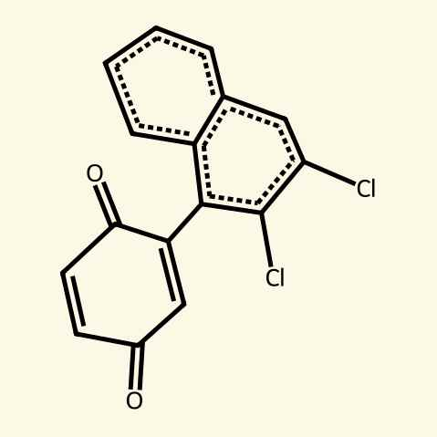 O=C1C=CC(=O)C(c2c(Cl)c(Cl)cc3ccccc23)=C1